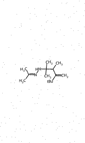 C=C(C(C)C(C)(C)NN=C(C)C)C(C)(C)C